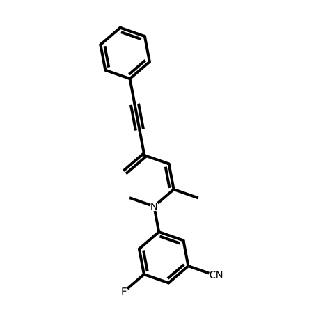 C=C(C#Cc1ccccc1)/C=C(/C)N(C)c1cc(F)cc(C#N)c1